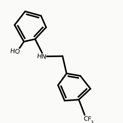 Oc1ccccc1NCc1ccc(C(F)(F)F)cc1